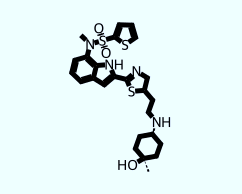 CN(c1cccc2cc(C3=NCC(CCN[C@H]4CC[C@](C)(O)CC4)S3)[nH]c12)S(=O)(=O)c1cccs1